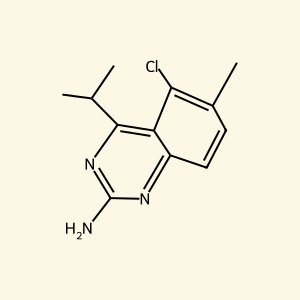 Cc1ccc2nc(N)nc(C(C)C)c2c1Cl